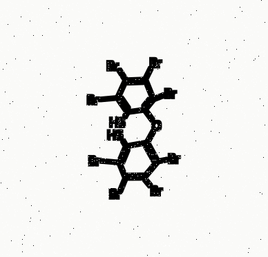 Sc1c(Br)c(Br)c(Br)c(Br)c1Oc1c(S)c(Br)c(Br)c(Br)c1Br